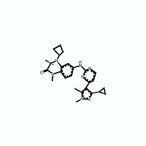 Cc1c(-c2ccnc(Nc3ccc4c(c3)N(C3CCC3)[C@H](C)C(=O)N4C)n2)c(C2CC2)nn1C